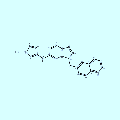 Cn1cc(Nc2cnc3nnn(Cc4ccc5ncccc5c4)c3n2)cn1